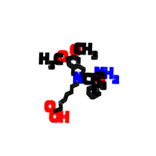 COc1cc2c(cc1OC)CN(CCCCCCCC(=O)O)C(C)C2.NOCc1ccccc1